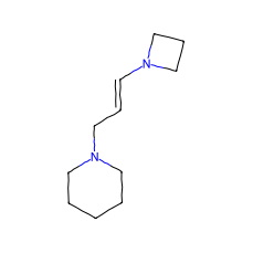 C(=CN1CCC1)CN1CCCCC1